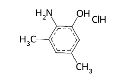 Cc1cc(C)c(N)c(O)c1.Cl